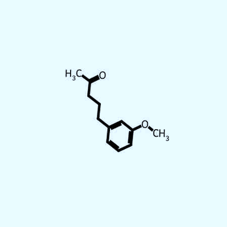 COc1cccc(CCCC(C)=O)c1